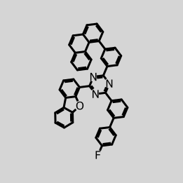 Fc1ccc(-c2cccc(-c3nc(-c4cccc(-c5cccc6ccc7ccccc7c56)c4)nc(-c4cccc5c4oc4ccccc45)n3)c2)cc1